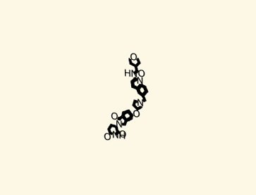 O=C1CCC(N2Cc3cc(O[C@H]4CCN(Cc5ccc6nc(NC(=O)C7CCOCC7)ccc6c5)C4)ccc3C2=O)C(=O)N1